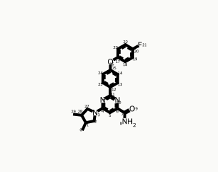 CC1CN(c2cc(C(N)=O)nc(-c3ccc(Oc4ccc(F)cc4)cc3)n2)CC1C